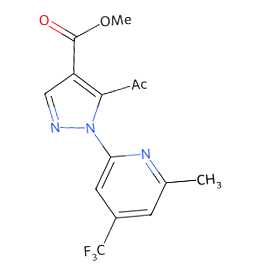 COC(=O)c1cnn(-c2cc(C(F)(F)F)cc(C)n2)c1C(C)=O